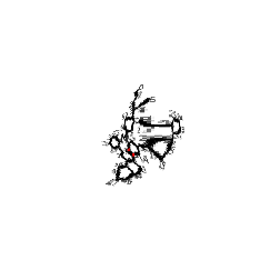 C=C/C=C(\C=C)c1ccc(N(c2cccc(-c3cccc(C4C=CC=CC4C=C)c3)c2)c2ccccc2/C=C/c2c(C=C)ccc3ccccc23)cc1